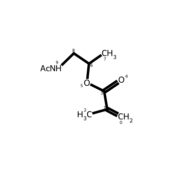 C=C(C)C(=O)OC(C)CNC(C)=O